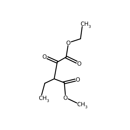 CCOC(=O)C(=O)C(CC)C(=O)OC